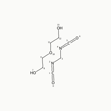 O=C=NCN=C=O.OCCOCCO